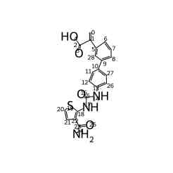 C=C(C(=O)O)c1cccc(-c2ccc(NC(=O)Nc3sccc3C(N)=O)cc2)c1